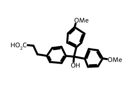 COc1ccc(C(O)(c2ccc(CCC(=O)O)cc2)c2ccc(OC)cc2)cc1